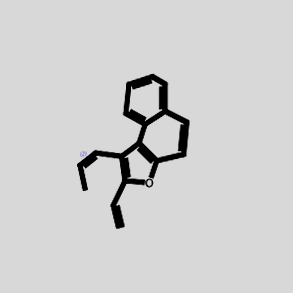 C=Cc1oc2ccc3ccccc3c2c1/C=C\C